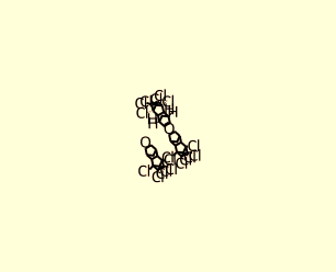 ClC1=C(Cl)C2(Cl)C3C4CC(C5OC45)C3C1(Cl)C2(Cl)Cl.ClC1=C(Cl)C2(Cl)C3C4CC(C5OC45)C3C1(Cl)C2(Cl)Cl.ClC1=C(Cl)[C@]2(Cl)[C@H]3[C@H]([C@@H]4C=C[C@H]3C4)[C@@]1(Cl)C2(Cl)Cl